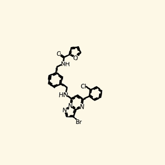 O=C(NCc1cccc(CNc2cc(-c3ccccc3Cl)nc3c(Br)cnn23)c1)c1ccco1